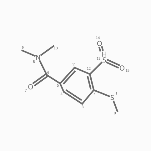 CSc1ccc(C(=O)N(C)C)cc1[SH](=O)=O